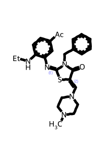 CCNc1ccc(C(C)=O)cc1/N=C1/S/C(=C\N2CCN(C)CC2)C(=O)N1Cc1ccccc1